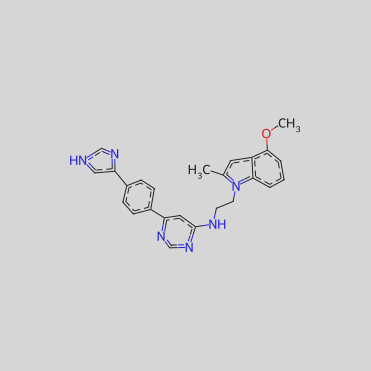 COc1cccc2c1cc(C)n2CCNc1cc(-c2ccc(-c3c[nH]cn3)cc2)ncn1